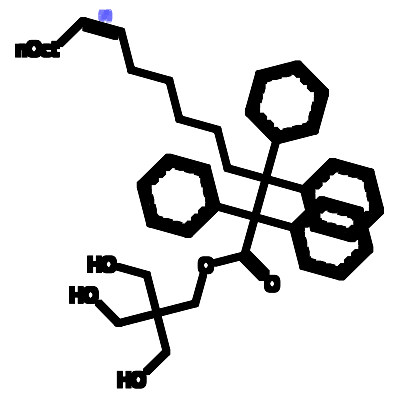 CCCCCCCC/C=C\CCCCCC(c1ccccc1)(c1ccccc1)C(C(=O)OCC(CO)(CO)CO)(c1ccccc1)c1ccccc1